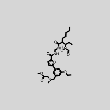 CCCCCC(C(=O)NCNC(=O)c1ccc(-c2cc(CN(C)CC(=O)OC)cc(OCC)c2)o1)C(CC)N(O)C=O